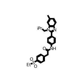 CCS(=O)(=O)c1ccc(CC(=O)Nc2ccc(-c3nc4ccc(C)cc4n3CC(C)C)cc2)cc1